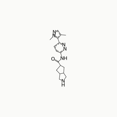 Cc1cnn(C)c1-c1ccc(NC(=O)C2CC3CNCC3C2)nn1